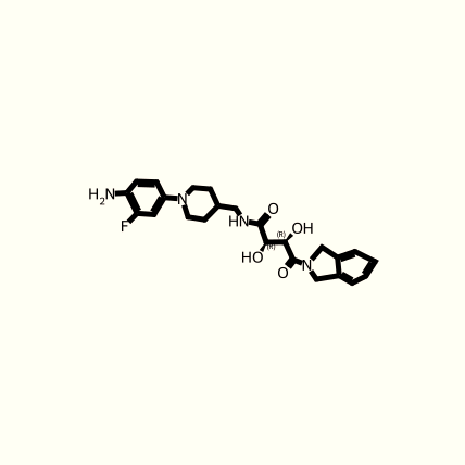 Nc1ccc(N2CCC(CNC(=O)[C@H](O)[C@@H](O)C(=O)N3Cc4ccccc4C3)CC2)cc1F